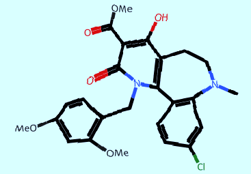 COC(=O)c1c(O)c2c(n(Cc3ccc(OC)cc3OC)c1=O)-c1ccc(Cl)cc1N(C)CC2